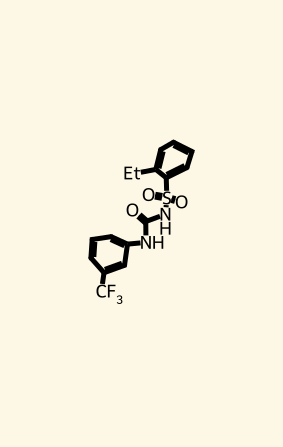 CCc1ccccc1S(=O)(=O)NC(=O)Nc1cccc(C(F)(F)F)c1